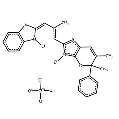 CCN1C(=CC(C)=Cc2sc3c([n+]2CC)OC(C)(c2ccccc2)C(C)=C3)Sc2ccccc21.[O-][Cl+3]([O-])([O-])[O-]